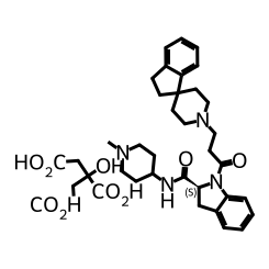 CN1CCC(NC(=O)[C@@H]2Cc3ccccc3N2C(=O)CCN2CCC3(CCc4ccccc43)CC2)CC1.O=C(O)CC(O)(CC(=O)O)C(=O)O